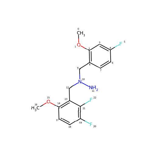 COc1cc(F)ccc1CN(N)Cc1c(OC)ccc(F)c1F